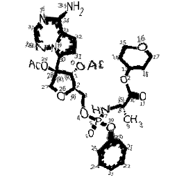 CC(=O)O[C@@H]1[C@@H](COP(=O)(N[C@@H](C)C(=O)OC2CCOCC2)Oc2ccccc2)OC[C@]1(OC(C)=O)c1ccc2c(N)ncnn12